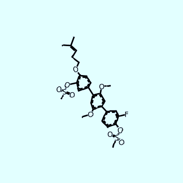 COc1cc(-c2ccc(OCCC=C(C)C)c(OS(C)(=O)=O)c2)c(OC)cc1-c1ccc(OS(C)(=O)=O)c(F)c1